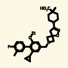 CCOc1cc(CN2CC3(CC(N4CCC(C)(C(=O)O)CC4)=NO3)C2)cc(C2CC2)c1-c1ccc(F)c(C)c1